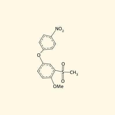 COc1ccc(Oc2ccc([N+](=O)[O-])cc2)cc1S(C)(=O)=O